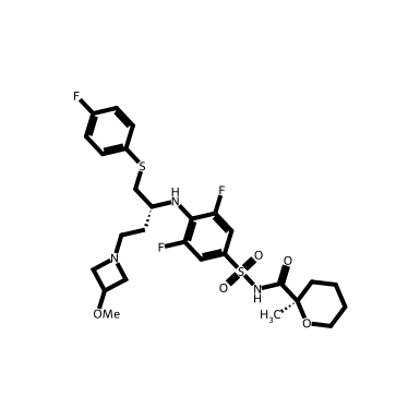 COC1CN(CC[C@H](CSc2ccc(F)cc2)Nc2c(F)cc(S(=O)(=O)NC(=O)[C@@]3(C)CCCCO3)cc2F)C1